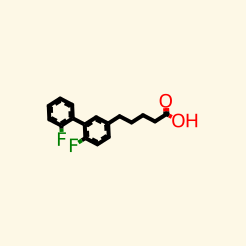 O=C(O)CCCCc1ccc(F)c(-c2ccccc2F)c1